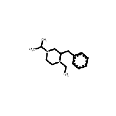 CCN1CCN(C(C)C)CC1Cc1ccccc1